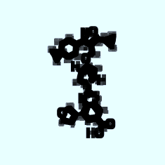 O=C(O)c1cc([C@@H]2CCOC2)c2nc(N3C[C@@H]4C[C@H]3C[C@H]4OCc3c(C4CCC5(CC4)CC5)noc3C3CC3)sc2c1